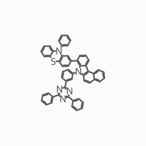 c1ccc(-c2nc(-c3ccccc3)nc(-c3cccc(-n4c5ccc6ccccc6c5c5cccc(-c6ccc7c(c6)N(c6ccccc6)c6ccccc6S7)c54)c3)n2)cc1